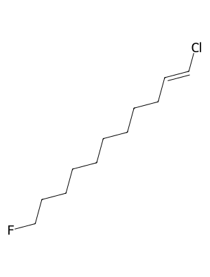 FCCCCCCCCCC=CCl